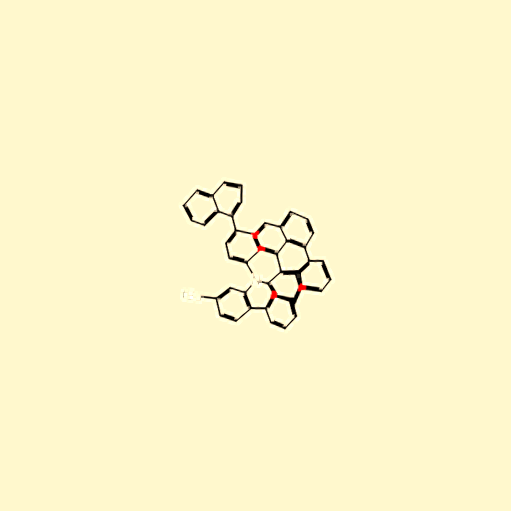 CC(C)(C)c1ccc(-c2ccccc2)c(N(c2ccc(-c3cccc4ccccc34)cc2)c2ccccc2-c2cccc3cccc(-c4ccccc4)c23)c1